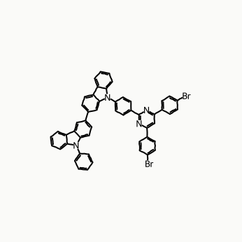 Brc1ccc(-c2cc(-c3ccc(Br)cc3)nc(-c3ccc(-n4c5ccccc5c5ccc(-c6ccc7c(c6)c6ccccc6n7-c6ccccc6)cc54)cc3)n2)cc1